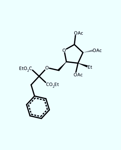 CCOC(=O)C(Cc1ccccc1)(OC[C@H]1OC(OC(C)=O)[C@H](OC(C)=O)[C@]1(CC)OC(C)=O)C(=O)OCC